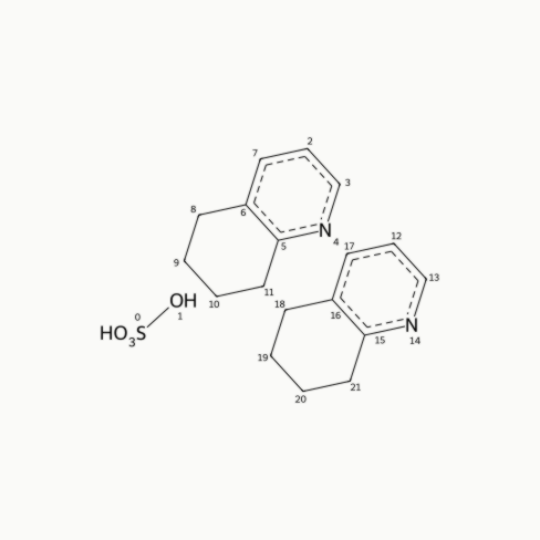 O=S(=O)(O)O.c1cnc2c(c1)CCCC2.c1cnc2c(c1)CCCC2